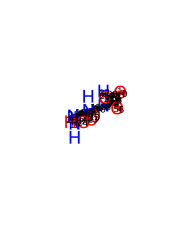 COc1cc(OC)c(CNCCC(=O)NC(Cc2c[nH]cn2)C(=O)O)c(OC)c1